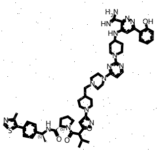 Cc1ncsc1-c1ccc([C@H](C)NC(=O)[C@@H]2CCCN2C(=O)C(c2cc(N3CCC(CN4CCN(c5ccnc(N6CCC(Nc7cc(-c8ccccc8O)nnc7C(=N)N)CC6)n5)CC4)CC3)no2)C(C)C)cc1